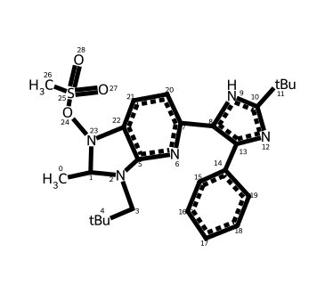 CC1N(CC(C)(C)C)c2nc(-c3[nH]c(C(C)(C)C)nc3-c3ccccc3)ccc2N1OS(C)(=O)=O